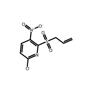 C=CCS(=O)(=O)c1nc(Cl)ccc1[N+](=O)[O-]